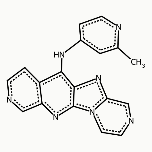 Cc1cc(Nc2c3ccncc3nc3c2nc2cnccn23)ccn1